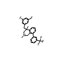 CN1Cc2c(-c3cccc(C(F)(F)F)c3)cccc2C(C)(Cc2cc(F)cc(F)c2)C1